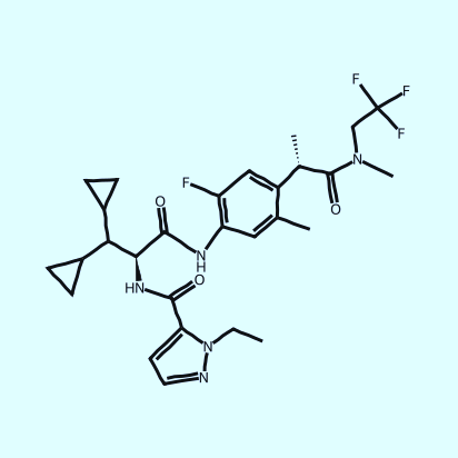 CCn1nccc1C(=O)N[C@H](C(=O)Nc1cc(C)c([C@H](C)C(=O)N(C)CC(F)(F)F)cc1F)C(C1CC1)C1CC1